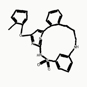 Cc1ccccc1Oc1cc2nc(n1)NS(=O)(=O)c1cccc(c1)NCCCc1ccccc1-2